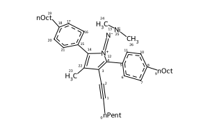 CCCCCC#CC1=C(c2ccc(CCCCCCCC)cc2)[N+](=[N-])C(c2ccc(CCCCCCCC)cc2)=C1C.[CH3][Ni][CH3]